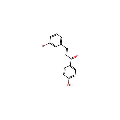 O=C(C=Cc1cccc(Br)c1)c1ccc(O)cc1